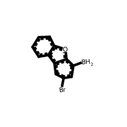 Bc1cc(Br)cc2c1oc1ccccc12